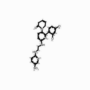 O=C1CC=CCN1c1ccc(NCCNc2ccc([N+](=O)[O-])cn2)nc1-c1ccc(Cl)cc1Cl